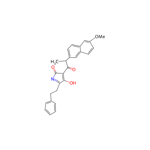 COc1ccc2cc(C(C)C(=O)C3=C(O)C(CCc4ccccc4)=NC3=O)ccc2c1